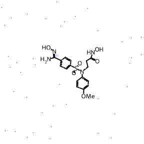 COc1ccc(N(CCC(=O)NO)S(=O)(=O)c2ccc(/C(N)=N/O)cc2)cc1